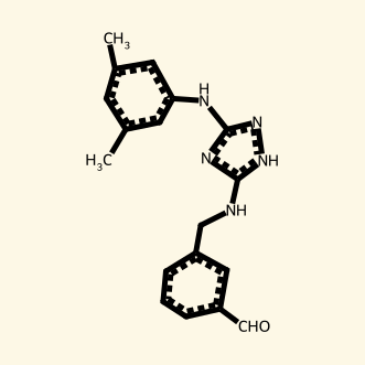 Cc1cc(C)cc(Nc2n[nH]c(NCc3cccc(C=O)c3)n2)c1